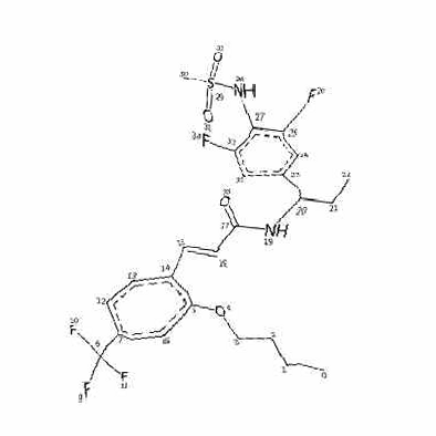 CCCCOc1cc(C(F)(F)F)ccc1C=CC(=O)NC(CC)c1cc(F)c(NS(C)(=O)=O)c(F)c1